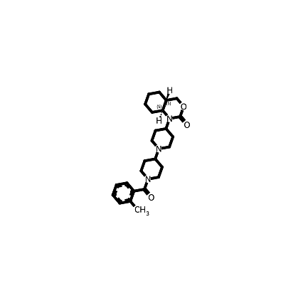 Cc1ccccc1C(=O)N1CCC(N2CCC(N3C(=O)OC[C@H]4CCCC[C@@H]43)CC2)CC1